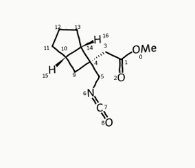 COC(=O)C[C@]1(CN=C=O)C[C@@H]2CCC[C@@H]21